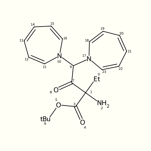 CCC(N)(C(=O)OC(C)(C)C)C(=O)C(N1C=CC=CC=C1)N1C=CC=CC=C1